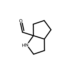 O=CC12CCCC1CCN2